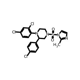 Cc1nccn1S(=O)(=O)N1CCN(c2ccc(Cl)cc2Cl)C(c2ccc(Cl)cc2)C1